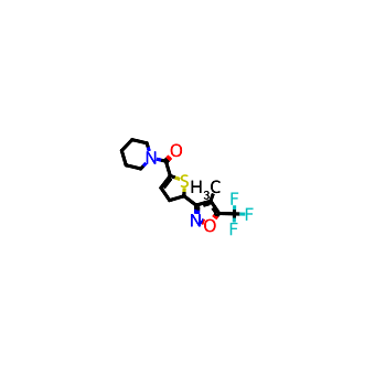 Cc1c(C2CC=C(C(=O)N3CCCCC3)S2)noc1C(F)(F)F